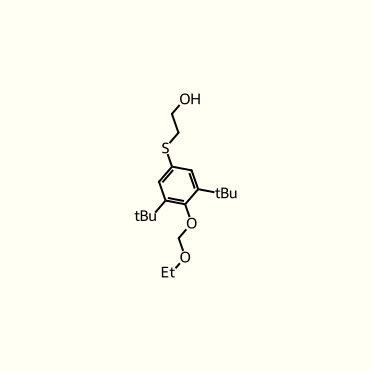 CCOCOc1c(C(C)(C)C)cc(SCCO)cc1C(C)(C)C